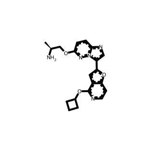 C[C@H](N)COc1ccc2ncc(-c3cc4c(OC5CCC5)nccc4o3)n2n1